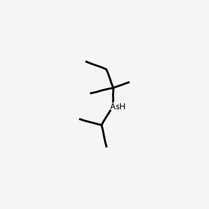 CCC(C)(C)[AsH]C(C)C